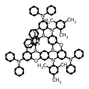 Cc1cc(C)c(N2c3cc4c(cc3B3c5cc6c(cc5Oc5cc(N(c7ccccc7)c7ccccc7)cc2c53)N(c2c(C)cc(C)cc2C)c2cc(N(c3ccccc3)c3ccccc3)cc3c2B6c2sc5ccccc5c2O3)B2c3sc5ccccc5c3Oc3cc(N(c5ccccc5)c5ccccc5)cc(c32)O4)c(C)c1